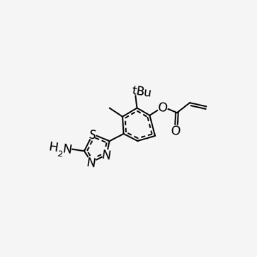 C=CC(=O)Oc1ccc(-c2nnc(N)s2)c(C)c1C(C)(C)C